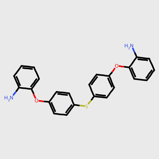 Nc1ccccc1Oc1ccc(Sc2ccc(Oc3ccccc3N)cc2)cc1